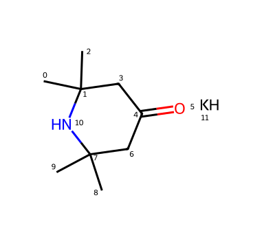 CC1(C)CC(=O)CC(C)(C)N1.[KH]